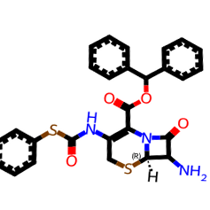 NC1C(=O)N2C(C(=O)OC(c3ccccc3)c3ccccc3)=C(NC(=O)Sc3ccccc3)CS[C@H]12